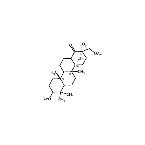 CC(=O)OC[C@@]1(C(=O)O)CC[C@]2(C)C(CCC3[C@@]4(C)CCC(OC(C)=O)C(C)(C)C4CC[C@]32C)C1=O